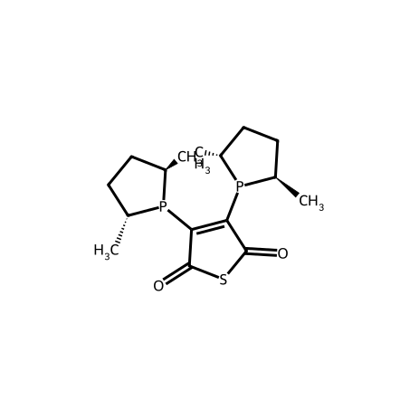 C[C@@H]1CC[C@@H](C)P1C1=C(P2[C@H](C)CC[C@H]2C)C(=O)SC1=O